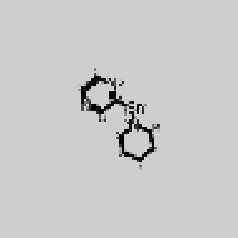 c1cn[c]([Sn][N]2CCCCC2)cn1